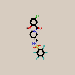 COc1ccc(Cl)cc1C(=O)N1CCC[C@H](CNS(=O)(=O)c2c(F)c(F)c(F)c(F)c2F)C1